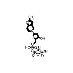 Cc1cc2c(o1)C=CN([C@H]1CC(O)[C@@H](COP(=O)(O)OP(=O)(O)OP(=O)(O)O)O1)C2